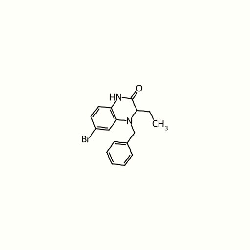 CCC1C(=O)Nc2ccc(Br)cc2N1Cc1ccccc1